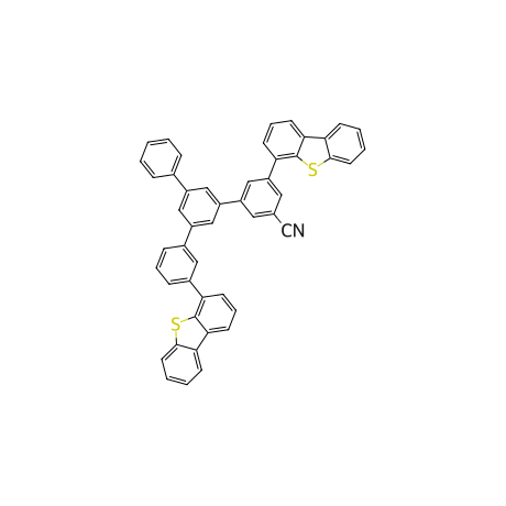 N#Cc1cc(-c2cc(-c3ccccc3)cc(-c3cccc(-c4cccc5c4sc4ccccc45)c3)c2)cc(-c2cccc3c2sc2ccccc23)c1